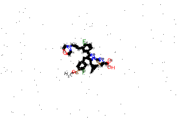 COSc1ccc(Cc2c(-c3ccc(F)c(C#CCN4CCOCC4)c3)nn(-c3nc(C(=O)O)cs3)c2CC2CC2)cc1F